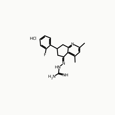 Cc1cc(C)c2c(n1)CC(c1ccccc1F)CC2=NNC(=N)N.Cl